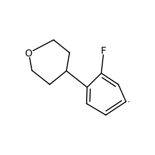 Fc1c[c]ccc1C1CCOCC1